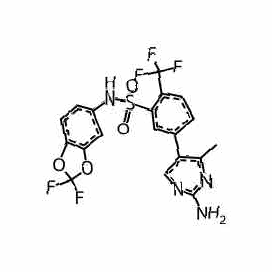 Cc1nc(N)ncc1-c1ccc(C(F)(F)F)c(S(=O)(=O)Nc2ccc3c(c2)OC(F)(F)O3)c1